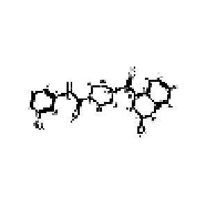 CCc1cccc(NC(=O)C2CCN(C(=O)N3CC(CC)Oc4ccccc43)CC2)c1